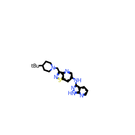 CC(C)(C)C1CCN(Cc2nsc3cc(Nc4n[nH]c5ncccc45)cnc23)CC1